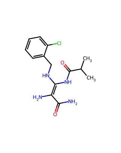 CC(C)C(=O)N/C(NCc1ccccc1Cl)=C(/N)C(N)=O